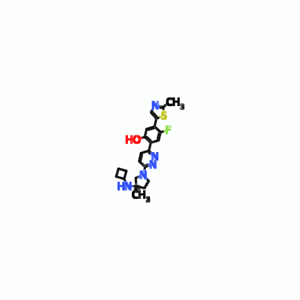 Cc1ncc(-c2cc(O)c(-c3ccc(N4CC[C@](C)(NC5CCC5)C4)nn3)cc2F)s1